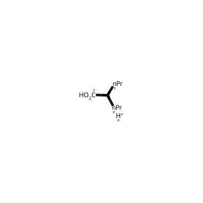 CCCC(CCC)C(=O)O.[H+]